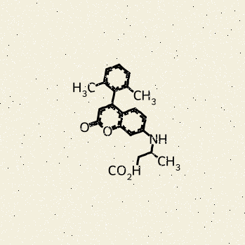 Cc1cccc(C)c1-c1cc(=O)oc2cc(N[C@@H](C)CC(=O)O)ccc12